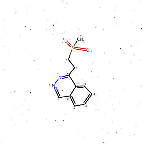 [CH2]S(=O)(=O)CCc1nncc2ccccc12